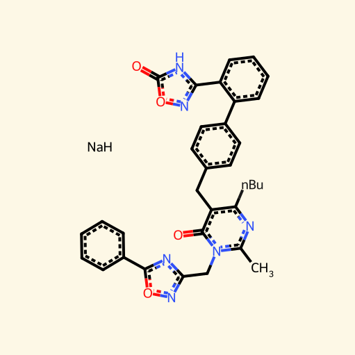 CCCCc1nc(C)n(Cc2noc(-c3ccccc3)n2)c(=O)c1Cc1ccc(-c2ccccc2-c2noc(=O)[nH]2)cc1.[NaH]